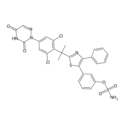 CC(C)(c1nc(-c2ccccc2)c(-c2cccc(OS(N)(=O)=O)c2)s1)c1c(Cl)cc(-n2ncc(=O)[nH]c2=O)cc1Cl